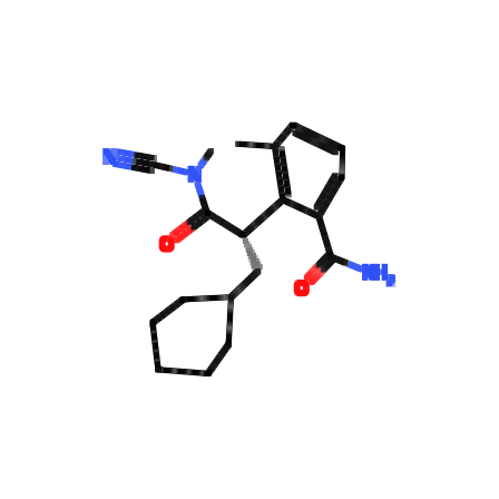 Cc1cccc(C(N)=O)c1[C@H](CC1CCCCC1)C(=O)N(C)C#N